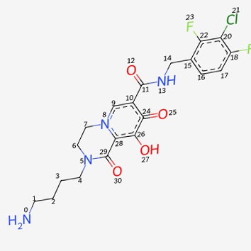 NCCCCN1CCn2cc(C(=O)NCc3ccc(F)c(Cl)c3F)c(=O)c(O)c2C1=O